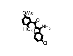 COc1ccc(O)c(C(=O)c2oc3ccc(Cl)cc3c2N)c1